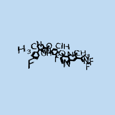 Cc1nc2c(Oc3ccc(NC(=O)c4cnc(C)c(-c5ccc(F)cc5)c4O)cc3F)ccnc2cc1-c1cnn(C(F)F)c1.Cl